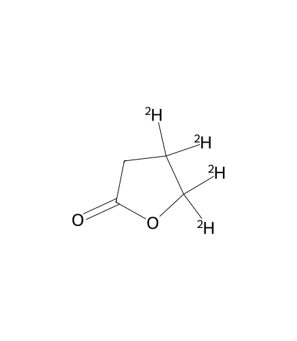 [2H]C1([2H])CC(=O)OC1([2H])[2H]